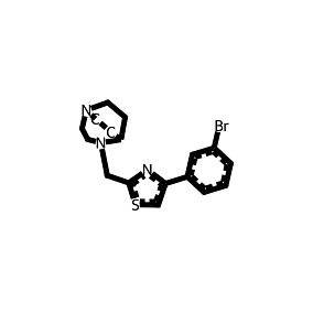 Brc1cccc(-c2csc(CN3CCN4CCC3CC4)n2)c1